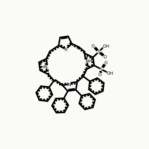 O=S(=O)(O)c1c(S(=O)(=O)O)c2[nH]c1cc1nc(cc3ccc([nH]3)c(-c3ccccc3)c3nc(c2-c2ccccc2)C(c2ccccc2)=C3c2ccccc2)C=C1